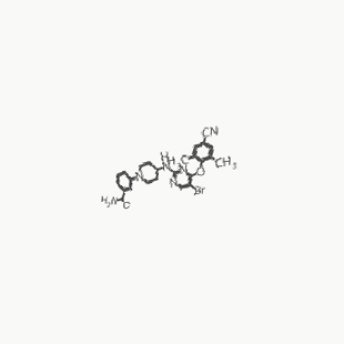 Cc1cc(C#N)cc(C)c1Oc1nc(NC2CCN(c3cccc(C(N)=O)c3)CC2)ncc1Br